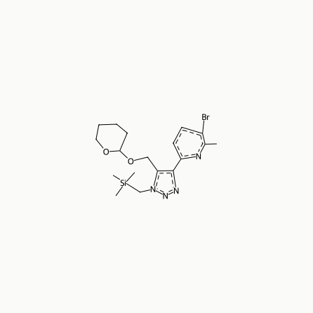 Cc1nc(-c2nnn(C[Si](C)(C)C)c2COC2CCCCO2)ccc1Br